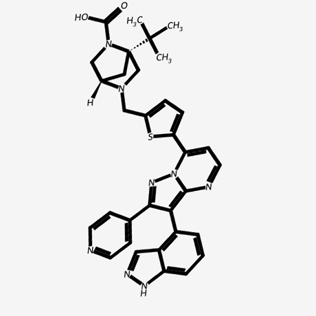 CC(C)(C)[C@]12C[C@@H](CN1C(=O)O)N(Cc1ccc(-c3ccnc4c(-c5cccc6[nH]ncc56)c(-c5ccncc5)nn34)s1)C2